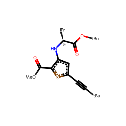 COC(=O)c1sc(C#CC(C)(C)C)cc1N[C@H](C(=O)OC(C)(C)C)C(C)C